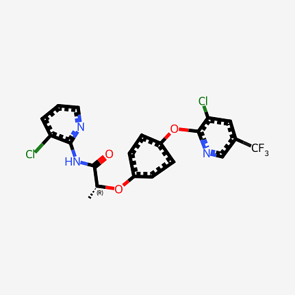 C[C@@H](Oc1ccc(Oc2ncc(C(F)(F)F)cc2Cl)cc1)C(=O)Nc1ncccc1Cl